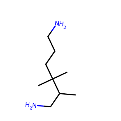 CC(CN)C(C)(C)CCCN